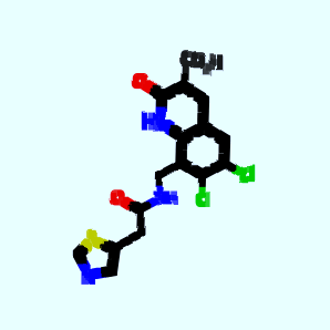 O=C(Cc1cncs1)NCc1c(Cl)c(Cl)cc2cc(C(=O)O)c(=O)[nH]c12